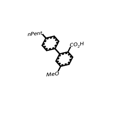 CCCCCc1ccc(-c2cc(OC)ccc2C(=O)O)cc1